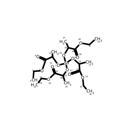 CCOC(=O)C(C)O[Si](OC(C)C(=O)OCC)(OC(C)C(=O)OCC)OC(C)C(=O)OCC